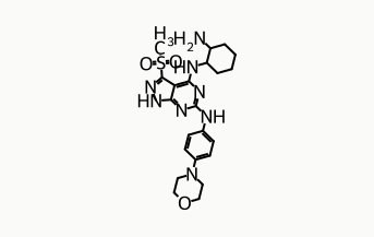 CS(=O)(=O)c1n[nH]c2nc(Nc3ccc(N4CCOCC4)cc3)nc(NC3CCCCC3N)c12